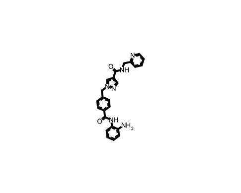 Nc1ccccc1NC(=O)c1ccc(Cn2cc(C(=O)NCc3ccccn3)cn2)cc1